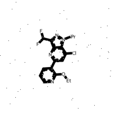 CCOc1ncccc1-c1cc(Cl)c2c(n1)c(C(F)F)nn2C(C)C